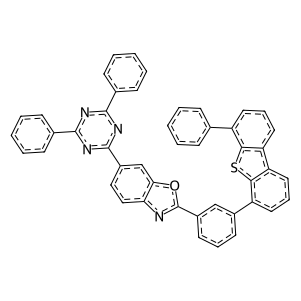 c1ccc(-c2nc(-c3ccccc3)nc(-c3ccc4nc(-c5cccc(-c6cccc7c6sc6c(-c8ccccc8)cccc67)c5)oc4c3)n2)cc1